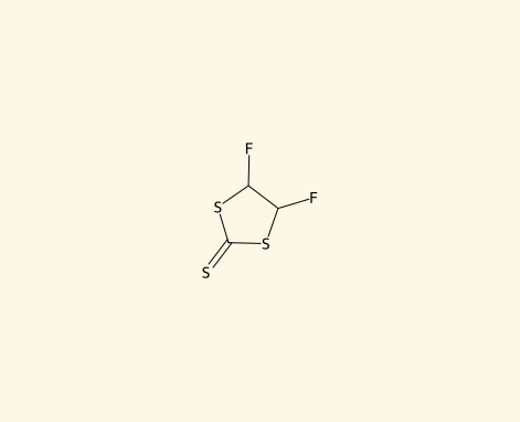 FC1SC(=S)SC1F